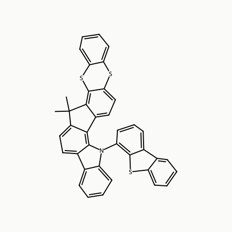 CC1(C)c2ccc3c4ccccc4n(-c4cccc5c4sc4ccccc45)c3c2-c2ccc3c(c21)Sc1ccccc1S3